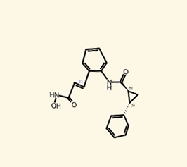 O=C(/C=C/c1ccccc1NC(=O)[C@H]1C[C@@H]1c1ccccc1)NO